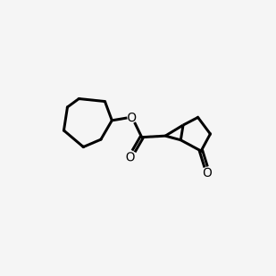 O=C1CCC2C1C2C(=O)OC1CCCCCC1